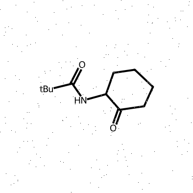 CC(C)(C)C(=O)NC1CCCCC1=O